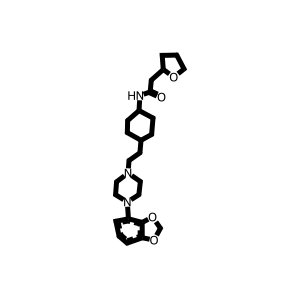 O=C(CC1CCCO1)NC1CCC(CCN2CCN(c3cccc4c3OCO4)CC2)CC1